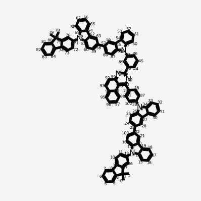 CC1(C)c2ccccc2-c2ccc(-n3c4ccccc4c4cc(-c5ccc6c(c5)c5ccccc5n6-c5ccc(-c6nc(-c7cccc(-n8c9ccccc9c9cc(-c%10ccc%11c(c%10)c%10ccccc%10n%11-c%10ccc%11c(c%10)C(C)(C)c%10ccccc%10-%11)ccc98)c7)nc7ccc8ccccc8c67)cc5)ccc43)cc21